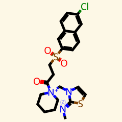 C/N=c1\sccn1C[N+]1(C(=O)CCS(=O)(=O)c2ccc3cc(Cl)ccc3c2)CCCCC1